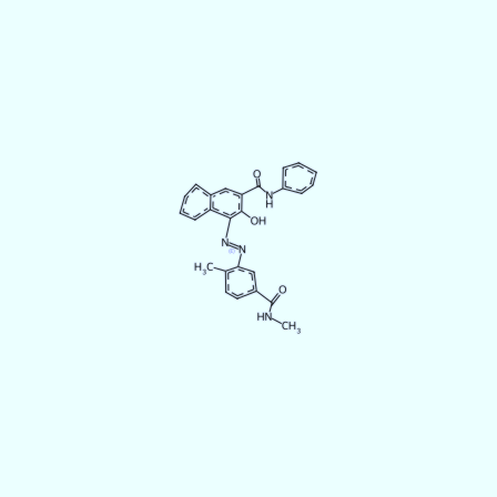 CNC(=O)c1ccc(C)c(/N=N/c2c(O)c(C(=O)Nc3ccccc3)cc3ccccc23)c1